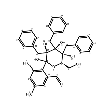 Cc1cc(C)c(C2(O)O[C@H](CO)[C@](O)(Cc3ccccc3)[C@@](O)(Cc3ccccc3)[C@@]2(O)Cc2ccccc2)c(C=O)c1